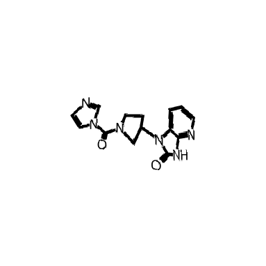 O=C(N1CCC(n2c(=O)[nH]c3ncccc32)C1)n1ccnc1